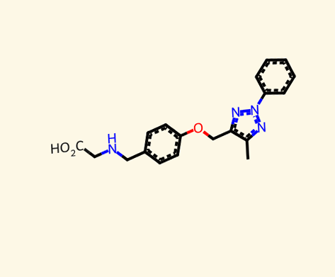 Cc1nn(-c2ccccc2)nc1COc1ccc(CNCC(=O)O)cc1